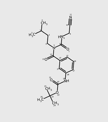 CC(C)CCN(C(=O)NCC#N)C(=O)c1cccc(NC(=O)OC(C)(C)C)c1